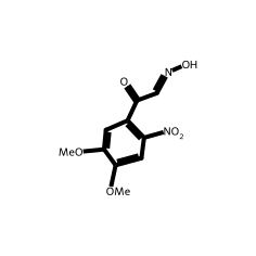 COc1cc(C(=O)C=NO)c([N+](=O)[O-])cc1OC